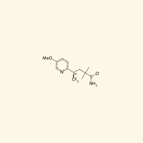 COc1ccc([C@@H](CC(C)(C)[S+](N)[O-])C(F)(F)F)nc1